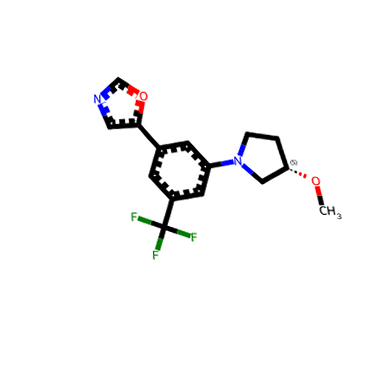 CO[C@H]1CCN(c2cc(-c3cnco3)cc(C(F)(F)F)c2)C1